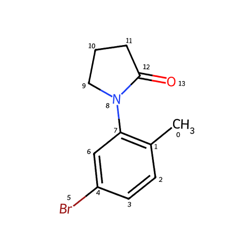 Cc1ccc(Br)cc1N1CCCC1=O